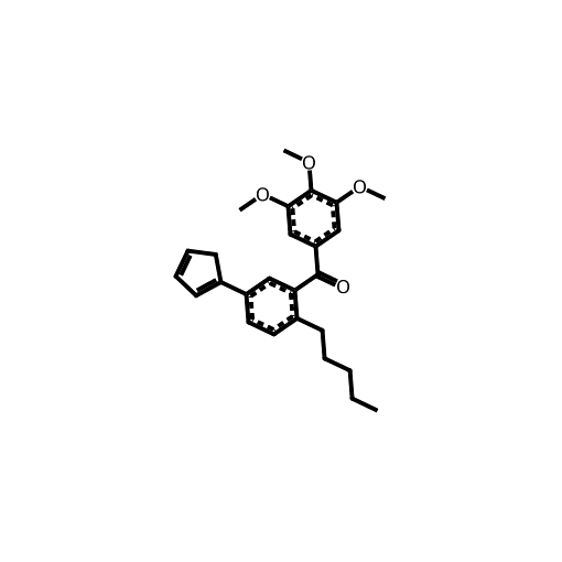 CCCCCc1ccc(C2=CC=CC2)cc1C(=O)c1cc(OC)c(OC)c(OC)c1